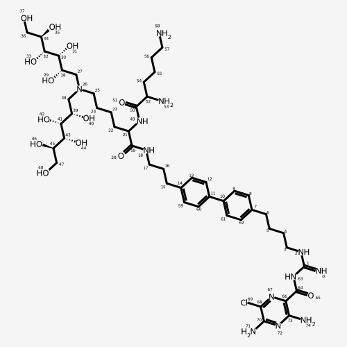 N=C(NCCCCc1ccc(-c2ccc(CCCNC(=O)C(CCCCN(C[C@H](O)[C@@H](O)[C@H](O)[C@H](O)CO)C[C@H](O)[C@@H](O)[C@H](O)[C@H](O)CO)NC(=O)C(N)CCCCN)cc2)cc1)NC(=O)c1nc(Cl)c(N)nc1N